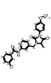 CC1C(=O)N(c2ccc(OC(F)(F)F)cc2)C(=O)N1Cc1ccnc(NC(=O)c2cccc(Cl)c2)c1